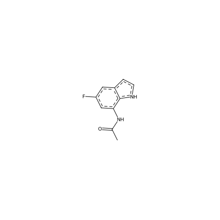 CC(=O)Nc1cc(F)cc2cc[nH]c12